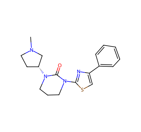 CN1CC[C@@H](N2CCCN(c3nc(-c4ccccc4)cs3)C2=O)C1